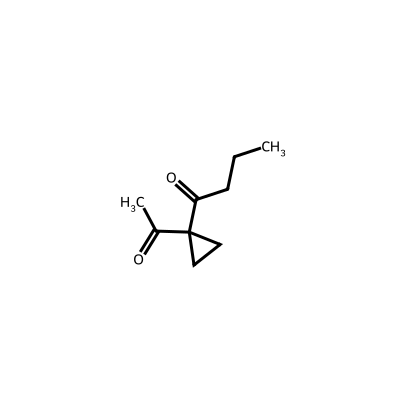 CCCC(=O)C1(C(C)=O)CC1